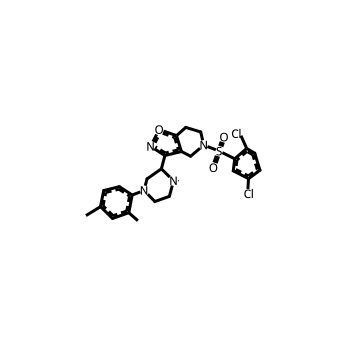 Cc1ccc(N2CC[N]C(c3noc4c3CN(S(=O)(=O)c3cc(Cl)ccc3Cl)CC4)C2)c(C)c1